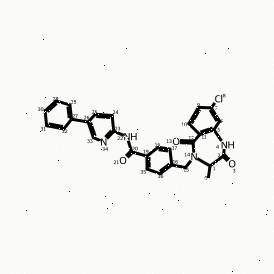 CC1C(=O)Nc2cc(Cl)ccc2C(=O)N1Cc1ccc(C(=O)Nc2ccc(-c3ccccc3)cn2)cc1